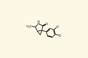 CC1NC(=O)C2(c3ccc(Cl)c(Cl)c3)CC12